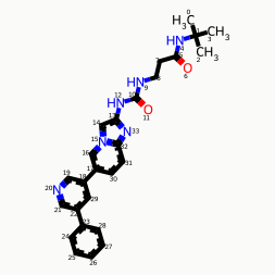 CC(C)(C)NC(=O)CCNC(=O)Nc1cn2cc(-c3cncc(-c4ccccc4)c3)ccc2n1